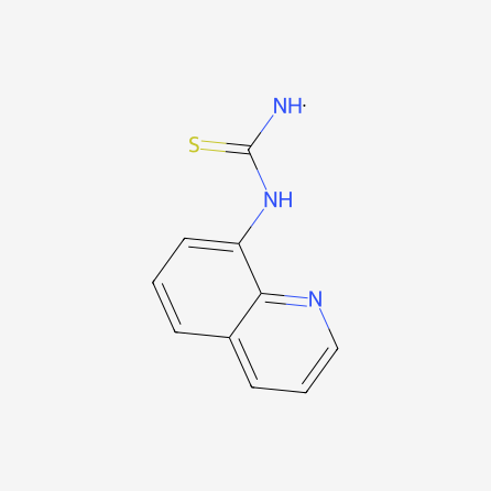 [NH]C(=S)Nc1cccc2cccnc12